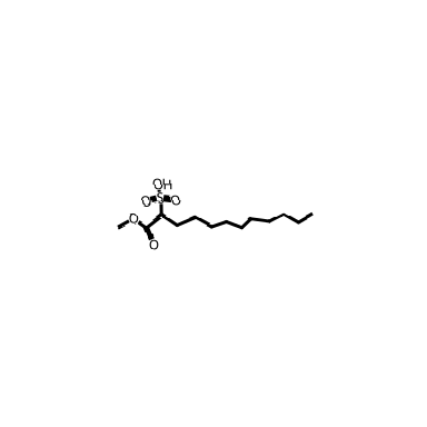 CCCCCCCCCCC(C(=O)OC)S(=O)(=O)O